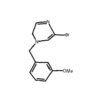 COc1cccc(CN2C=C(Br)N=CC2)c1